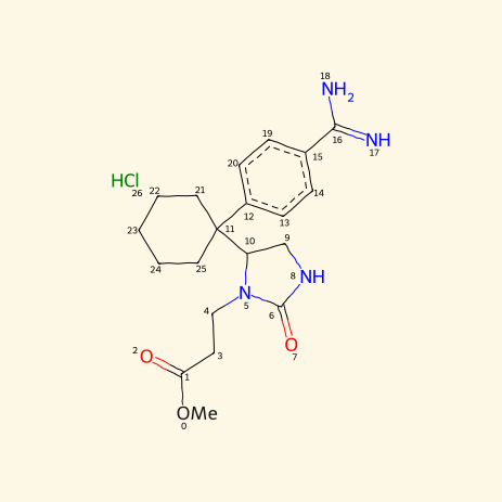 COC(=O)CCN1C(=O)NCC1C1(c2ccc(C(=N)N)cc2)CCCCC1.Cl